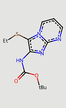 CCSc1c(NC(=O)OC(C)(C)C)nc2ncccn12